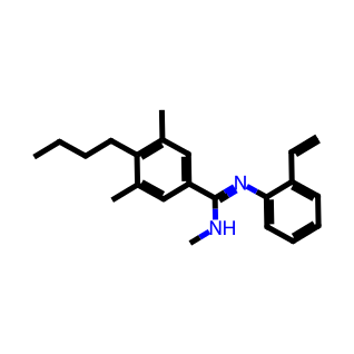 C=Cc1ccccc1/N=C(\NC)c1cc(C)c(CCCC)c(C)c1